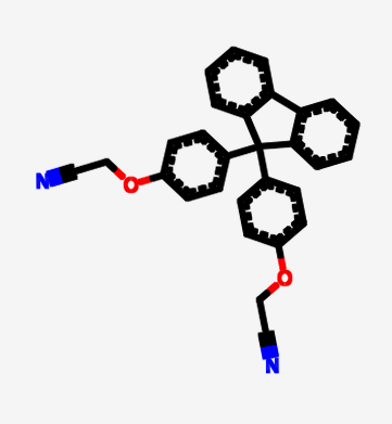 N#CCOc1ccc(C2(c3ccc(OCC#N)cc3)c3ccccc3-c3ccccc32)cc1